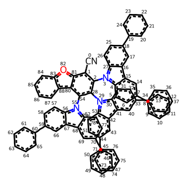 N#Cc1c(-n2c3ccc(-c4ccccc4)cc3c3cc(-c4ccccc4)ccc32)c(-n2c3ccc(-c4ccccc4)cc3c3cc(-c4ccccc4)ccc32)c(-n2c3ccc(-c4ccccc4)cc3c3cc(-c4ccccc4)ccc32)c2c1oc1ccccc12